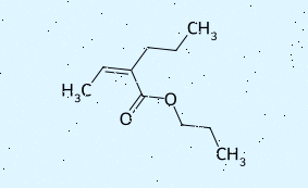 CC=C(CCC)C(=O)OCCC